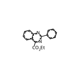 CCOC(=O)c1nc(-c2ccccc2)nc2ccccc12